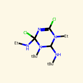 CCNC1(Cl)N=C(Cl)N(CC)C(NC(C)(C)C)N1C(C)(C)C